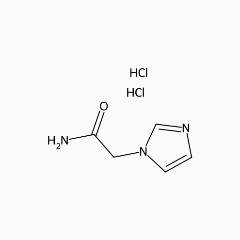 Cl.Cl.NC(=O)Cn1ccnc1